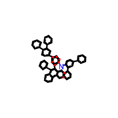 c1ccc(-c2ccc(N(c3ccc(-c4ccc(-c5ccccc5)c(-c5ccccc5)c4)cc3)c3cccc4c3c(-c3ccccc3)c(-c3ccccc3)c3ccccc34)c(-c3ccccc3)c2)cc1